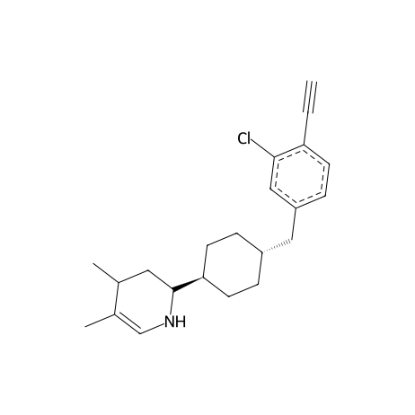 C#Cc1ccc(C[C@H]2CC[C@H](C3CC(C)C(C)=CN3)CC2)cc1Cl